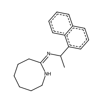 CC(/N=C1/CCCCCCN1)c1cccc2ccccc12